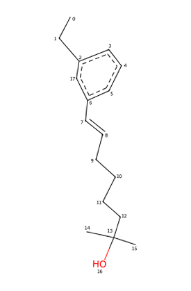 CCc1cccc(/C=C/CCCCC(C)(C)O)c1